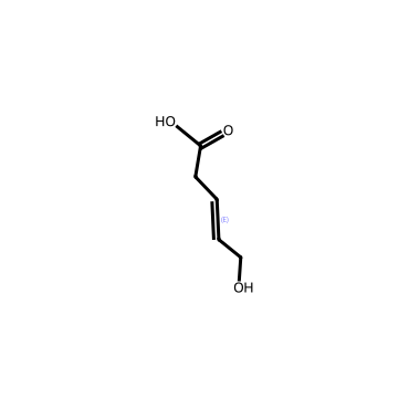 O=C(O)C/C=C/CO